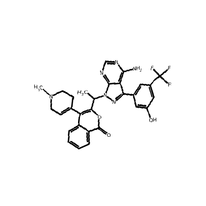 CC(c1oc(=O)c2ccccc2c1C1=CCN(C)CC1)n1nc(-c2cc(O)cc(C(F)(F)F)c2)c2c(N)ncnc21